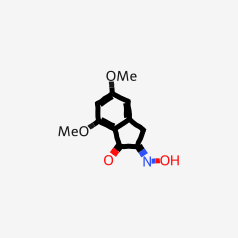 COc1cc2c(c(OC)c1)C(=O)C(=NO)C2